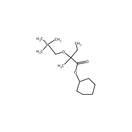 CCC(C)(OC[Si](C)(C)C)C(=O)OC1CCCCC1